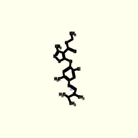 CCOC(=O)c1c(C)nsc1Oc1cc(C)c(/N=C/N(C)C(C)C)cc1Cl